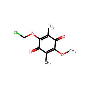 COC1=C(C)C(=O)C(OCCl)=C(C)C1=O